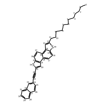 CCCCCCCCCCCCc1cc2c(ccc3c4cc(C#Cc5ccc6ccccc6c5)sc4ccc23)s1